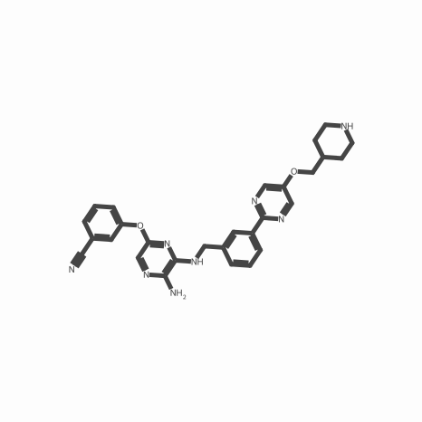 N#Cc1cccc(Oc2cnc(N)c(NCc3cccc(-c4ncc(OCC5CCNCC5)cn4)c3)n2)c1